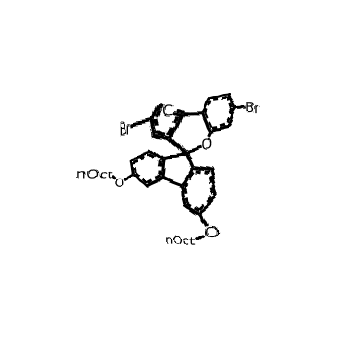 CCCCCCCCOc1ccc2c(c1)-c1cc(OCCCCCCCC)ccc1C21Oc2cc(Br)ccc2-c2ccc(Br)cc21